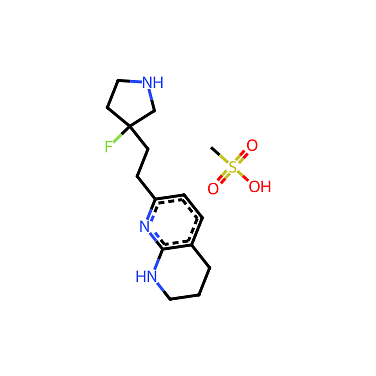 CS(=O)(=O)O.FC1(CCc2ccc3c(n2)NCCC3)CCNC1